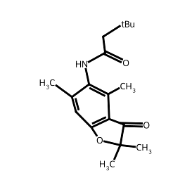 Cc1cc2c(c(C)c1NC(=O)CC(C)(C)C)C(=O)C(C)(C)O2